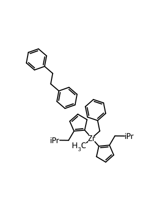 CC(C)CC1=[C]([Zr]([CH3])([CH2]c2ccccc2)[C]2=C(CC(C)C)C=CC2)CC=C1.c1ccc(CCc2ccccc2)cc1